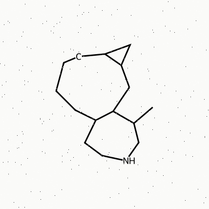 CC1CNCCC2CCCCC3CC3CC12